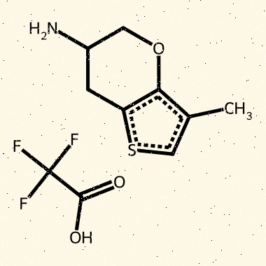 Cc1csc2c1OCC(N)C2.O=C(O)C(F)(F)F